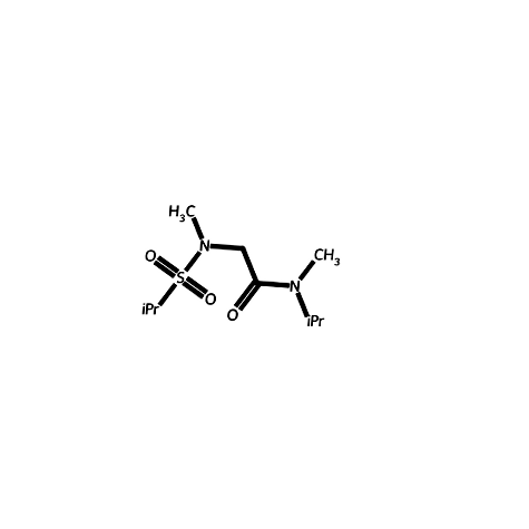 CC(C)N(C)C(=O)CN(C)S(=O)(=O)C(C)C